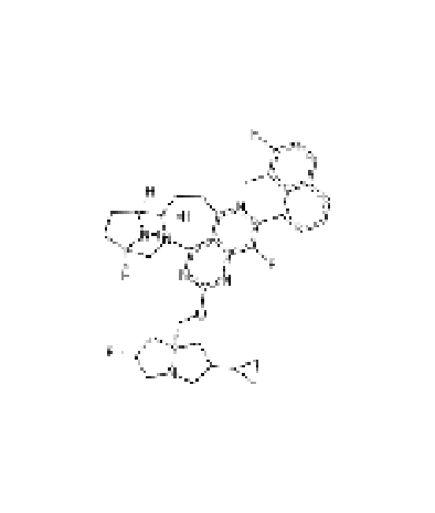 Cc1c(F)ccc2cccc(-c3nc4c5c(nc(OC[C@]67CC(C8CC8)CN6C[C@H](F)C7)nc5c3F)N3C[C@H]5CC[C@H](N5)[C@H]3CC4)c12